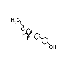 CCCCOc1ccc([C@H]2CC[C@H]([C@H]3CC[C@H](CO)CC3)CC2)c(F)c1F